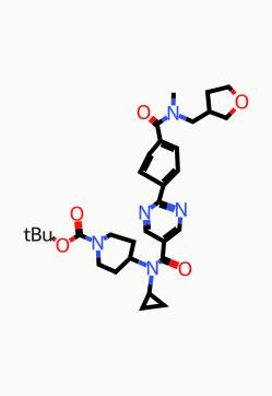 CN(CC1CCOC1)C(=O)c1ccc(-c2ncc(C(=O)N(C3CC3)C3CCN(C(=O)OC(C)(C)C)CC3)cn2)cc1